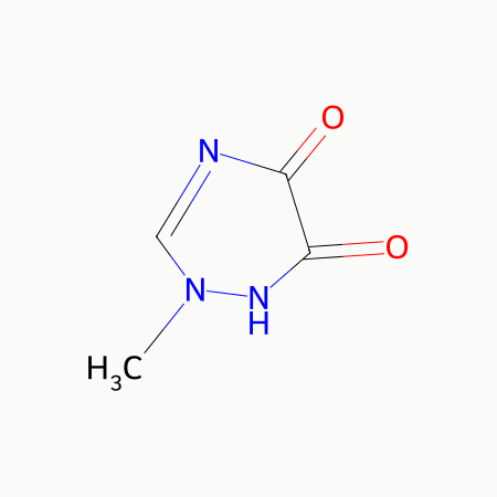 Cn1cnc(=O)c(=O)[nH]1